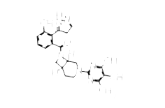 Cc1cccc(C(=O)N2C[C@H]3CCN(c4nc(C)c(C)c(C)n4)C[C@H]32)c1C1CC=NN1